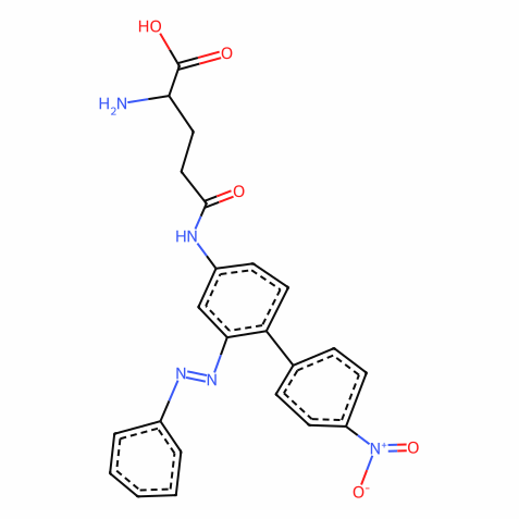 NC(CCC(=O)Nc1ccc(-c2ccc([N+](=O)[O-])cc2)c(N=Nc2ccccc2)c1)C(=O)O